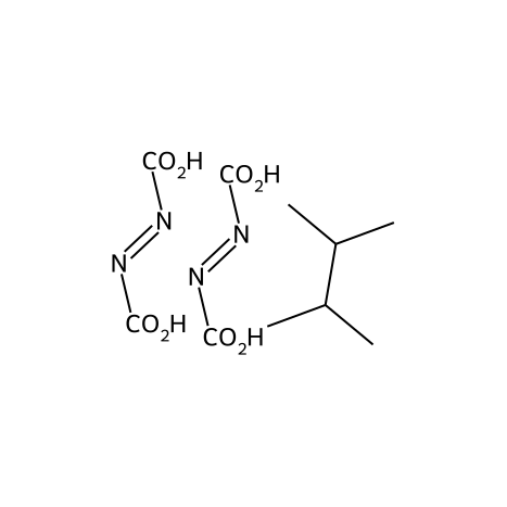 CC(C)C(C)C.O=C(O)/N=N/C(=O)O.O=C(O)/N=N/C(=O)O